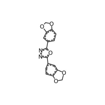 c1cc2c(cc1-c1nnc(-c3ccc4c(c3)OCO4)o1)OCO2